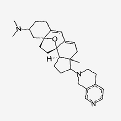 CN(C)C1CCC2=CC3=CCC4(C)C(N5CCc6ccncc6C5)CC[C@H]4[C@@]34CC[C@]2(C1)O4